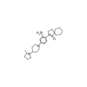 CC1CCCN1C1CCN(c2ccc(N3CCC4(CCCCC4)C3=O)c(N)c2)CC1